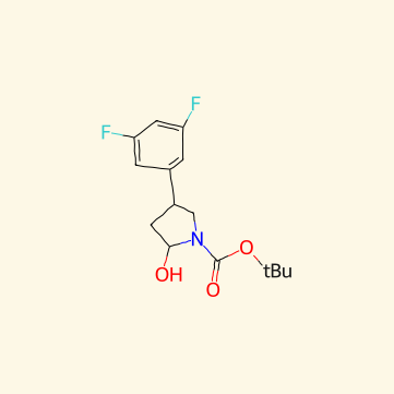 CC(C)(C)OC(=O)N1CC(c2cc(F)cc(F)c2)CC1O